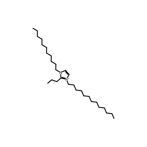 CCCCCCCCCCCCC[n+]1ccn(CCCCCCCCCCC)c1CCC